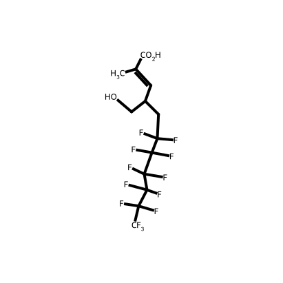 CC(=CC(CO)CC(F)(F)C(F)(F)C(F)(F)C(F)(F)C(F)(F)C(F)(F)F)C(=O)O